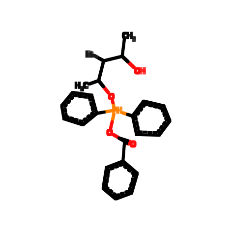 CCC(C(C)O)C(C)O[PH](OC(=O)c1ccccc1)(c1ccccc1)c1ccccc1